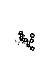 C[Si]1(C)c2cc(N(c3cccc(-c4ccccc4)c3)c3cccc(-c4ccccc4)c3)ccc2-c2c1ccc1c2oc2ccccc21